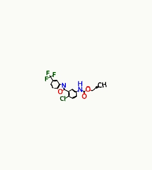 C#CCOC(=O)Nc1ccc(Cl)c(-c2nc3cc(C(F)(F)F)ccc3o2)c1